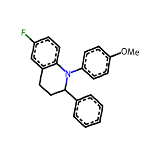 COc1ccc(N2c3ccc(F)cc3CCC2c2ccccc2)cc1